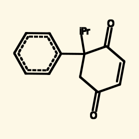 CC(C)C1(c2ccccc2)CC(=O)C=CC1=O